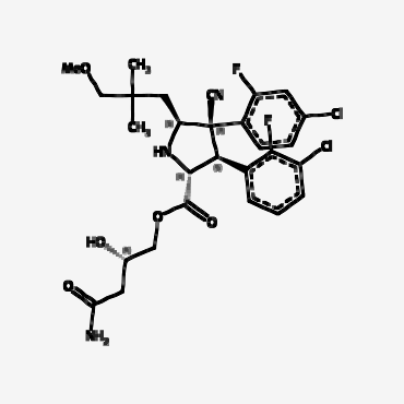 COCC(C)(C)C[C@@H]1N[C@@H](C(=O)OC[C@@H](O)CC(N)=O)[C@H](c2cccc(Cl)c2F)[C@@]1(C#N)c1ccc(Cl)cc1F